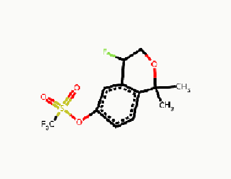 CC1(C)OCC(F)c2cc(OS(=O)(=O)C(F)(F)F)ccc21